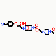 CC(=O)N1CCN(CCOC(=O)N2CC3CN(CC(O)COc4ccc(C#N)cc4)CC(C2)O3)CC1